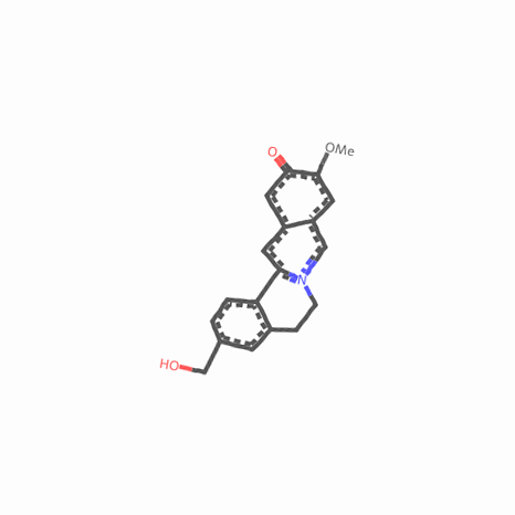 COc1cc2cn3c(cc-2cc1=O)-c1ccc(CO)cc1CC3